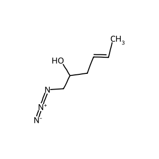 C/C=C/CC(O)CN=[N+]=[N-]